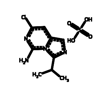 CC(C)c1ncc2cc(Cl)nc(N)n12.O=S(=O)(O)O